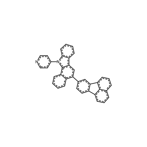 c1cc2c3c(cccc3c1)-c1cc(-c3cc4c5ccccc5n(-c5ccncc5)c4c4ccccc34)ccc1-2